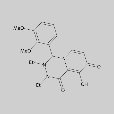 CCN1C(=O)c2c(O)c(=O)ccn2C(c2cccc(OC)c2OC)N1CC